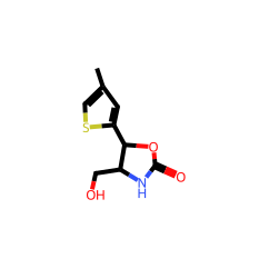 Cc1csc(C2OC(=O)NC2CO)c1